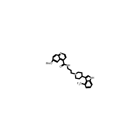 COc1ccc2nccc(C(=O)NCCCN3CCC(c4c[nH]c5cccc(C(F)(F)F)c45)CC3)c2c1